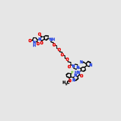 COc1cccc(F)c1-c1nccc(C(=O)Nc2ccc(-c3cnccc3C#N)cc2N2CCN(C(=O)CCOCCOCCOCCOCCNc3ccc4c(c3)C(=O)N(C3CCC(=O)NC3=O)C4=O)CC2)n1